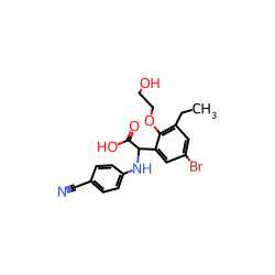 CCc1cc(Br)cc(C(Nc2ccc(C#N)cc2)C(=O)O)c1OCCO